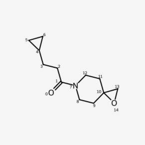 O=C(CCC1CC1)N1CCC2(CC1)CO2